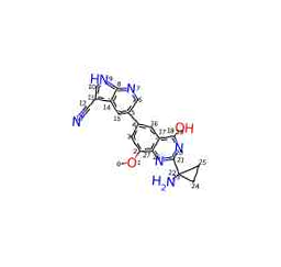 COc1cc(-c2cnc3[nH]cc(C#N)c3c2)cc2c(O)nc(C3(N)CC3)nc12